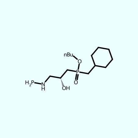 CCCCOP(=O)(CC1CCCCC1)C[C@H](O)CNP